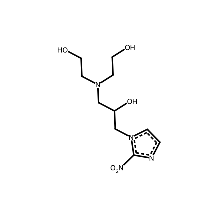 O=[N+]([O-])c1nccn1CC(O)CN(CCO)CCO